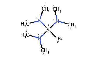 CN(C)[Si](N(C)C)(N(C)C)C(C)(C)C